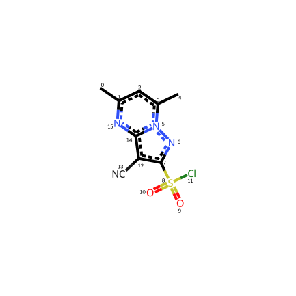 Cc1cc(C)n2nc(S(=O)(=O)Cl)c(C#N)c2n1